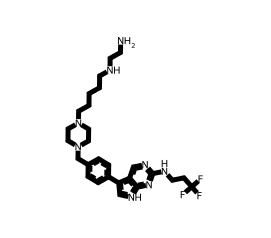 NCCNCCCCCN1CCN(Cc2ccc(-c3c[nH]c4nc(NCCC(F)(F)F)ncc34)cc2)CC1